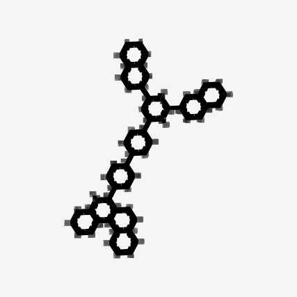 c1ccc2cc(-c3cc(-c4ccc(-c5ccc(-c6nc7ccccc7c7c6ccc6ccccc67)cc5)cc4)nc(-c4ccc5ccccc5c4)n3)ccc2c1